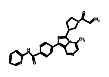 C=CC(=O)N1CCC(c2nc(-c3ccc(C(=O)Nc4ccccn4)cc3)c3cncc(C)n23)C1